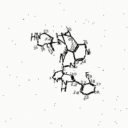 CC1(Nc2nc(-c3ccnc4[nH]c(-c5ccccc5F)cc34)nc3cncc(C4CC4)c23)CCNCC1